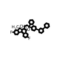 CC1(C)c2cc(F)ccc2-c2c1c1c(c3cc(F)ccc23)OC(c2ccccc2)(c2ccc(-c3cccc(-c4ccccc4)c3)cc2)C=C1